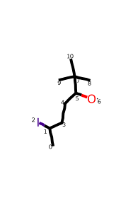 CC(I)CCC([O])C(C)(C)C